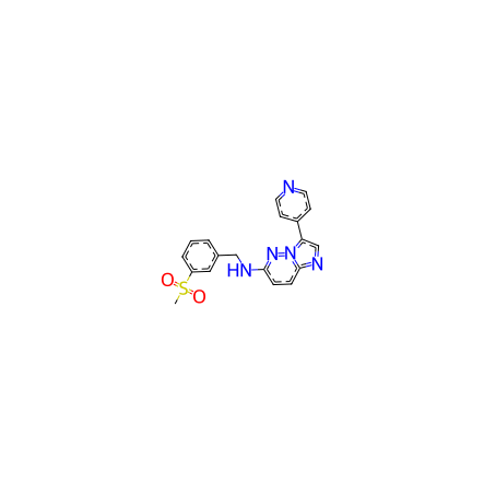 CS(=O)(=O)c1cccc(CNc2ccc3ncc(-c4ccncc4)n3n2)c1